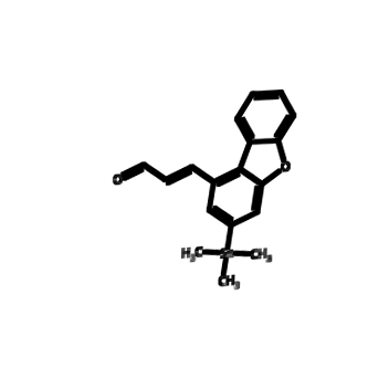 [CH3][Sn]([CH3])([CH3])[c]1cc(C=CC=O)c2c(c1)oc1ccccc12